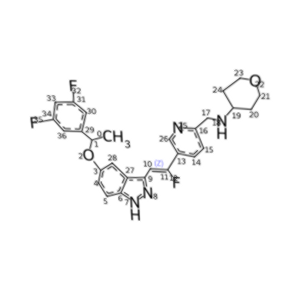 CC(Oc1ccc2[nH]nc(/C=C(\F)c3ccc(CNC4CCOCC4)nc3)c2c1)c1cc(F)cc(F)c1